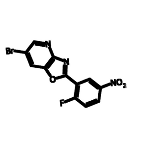 O=[N+]([O-])c1ccc(F)c(-c2nc3ncc(Br)cc3o2)c1